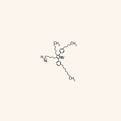 CCCCCCCCc1cccc(C2=C(CCCCC)C(CCCCCC)=C(c3ccc(CCCCC)cc3)[N+]2=[N-])c1.[Ni]